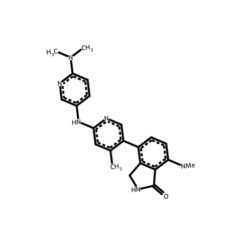 CNc1ccc(-c2cnc(Nc3ccc(N(C)C)nc3)cc2C)c2c1C(=O)NC2